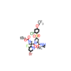 CC(C)(C)OC(=O)N1CC(C(=O)N2C[C@H](S(=O)(=O)c3ccc(OCC(F)(F)F)cc3Cl)C[C@H]2C(=O)NC2(C#N)CC2)(c2ncc(Br)cc2F)C1